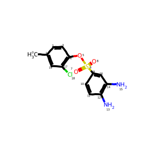 Cc1ccc(OS(=O)(=O)c2ccc(N)c(N)c2)c(Cl)c1